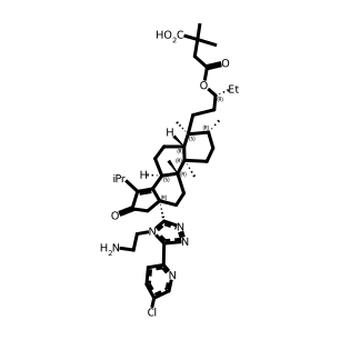 CC[C@H](CC[C@@]1(C)[C@H](C)CC[C@]2(C)[C@@H]1CC[C@@H]1C3=C(C(C)C)C(=O)C[C@]3(c3nnc(-c4ccc(Cl)cn4)n3CCN)CC[C@]12C)OC(=O)CC(C)(C)C(=O)O